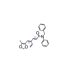 C=CC(/C=C/C(=O)N(Cc1ccccc1)c1ccccc1)=C\C1=C(C)OCO1